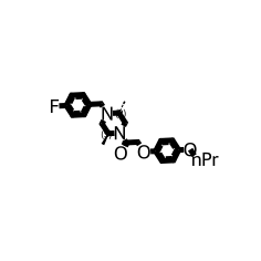 CCCOc1ccc(OCC(=O)N2C[C@@H](C)N(Cc3ccc(F)cc3)C[C@@H]2C)cc1